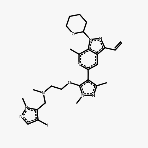 C=Cc1nn(C2CCCCO2)c2c(C)nc(-c3c(C)nn(C)c3OCCN(C)Cc3c(I)cnn3C)cc12